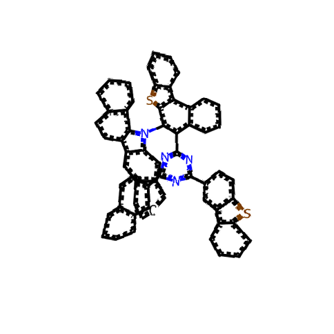 c1ccc2cc(-c3nc(-c4ccc5sc6ccccc6c5c4)nc(-c4c(-n5c6cc7ccccc7cc6c6ccc7ccccc7c65)c5sc6ccccc6c5c5ccccc45)n3)ccc2c1